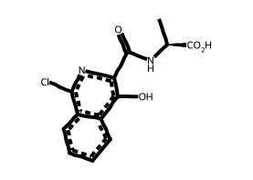 C[C@H](NC(=O)c1nc(Cl)c2ccccc2c1O)C(=O)O